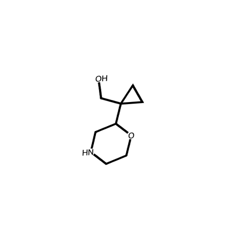 OCC1(C2CNCCO2)CC1